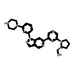 OC[C@@H]1CCCN1c1cncc(-c2cc3c(cn2)cnn3-c2cccc(N3CCNCC3)n2)n1